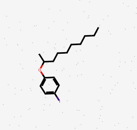 CCCCCCCCC(C)Oc1ccc(I)cc1